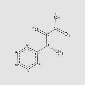 C[C@@H](C(=O)C(=O)O)c1ccccc1